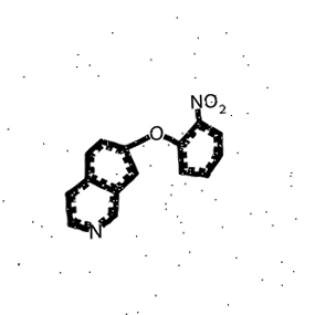 O=[N+]([O-])c1ccccc1Oc1ccc2ccncc2c1